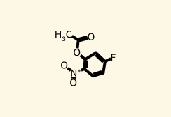 CC(=O)Oc1cc(F)ccc1[N+](=O)[O-]